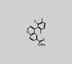 COC(=O)c1ccc2c(c1)C(c1c(C)ccc(C)c1F)=CCO2